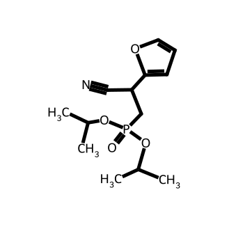 CC(C)OP(=O)(CC(C#N)c1ccco1)OC(C)C